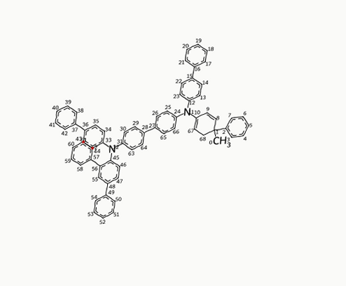 CC1(c2ccccc2)C=CC(N(c2ccc(-c3ccccc3)cc2)c2ccc(-c3ccc(N(c4ccc(-c5ccccc5)cc4)c4ccc(-c5ccccc5)cc4-c4ccccc4)cc3)cc2)=CC1